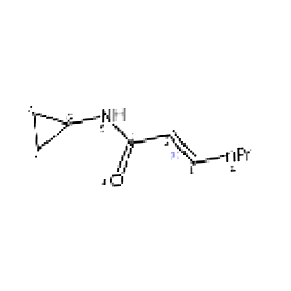 CCC/C=C/C(=O)NC1CC1